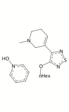 CCCCCCOc1nsnc1C1=CCCN(C)C1.O[n+]1ccccc1